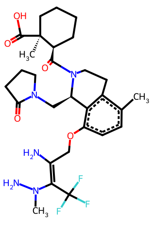 Cc1ccc(OC/C(N)=C(/N(C)N)C(F)(F)F)c2c1CCN(C(=O)[C@@H]1CCCC[C@]1(C)C(=O)O)[C@@H]2CN1CCCC1=O